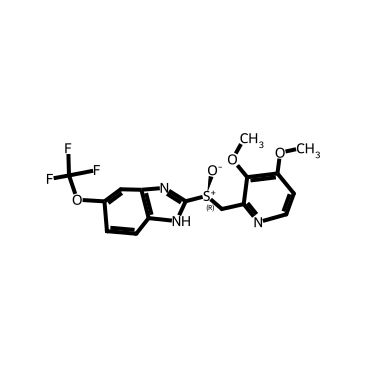 COc1ccnc(C[S@+]([O-])c2nc3cc(OC(F)(F)F)ccc3[nH]2)c1OC